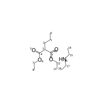 CCCC(C(=O)OCC)C(=O)OCC.CCNCC